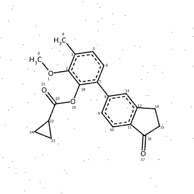 COc1c(C)ccc(-c2ccc3c(c2)CCC3=O)c1OC(=O)C1CC1